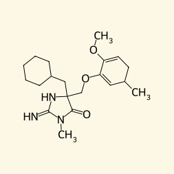 COC1=CCC(C)C=C1OCC1(CC2CCCCC2)NC(=N)N(C)C1=O